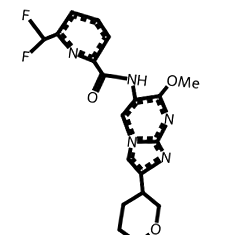 COc1nc2nc(C3CCCOC3)cn2cc1NC(=O)c1cccc(C(F)F)n1